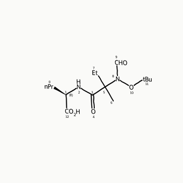 CCC[C@@H](NC(=O)C(C)(CC)N(C=O)OC(C)(C)C)C(=O)O